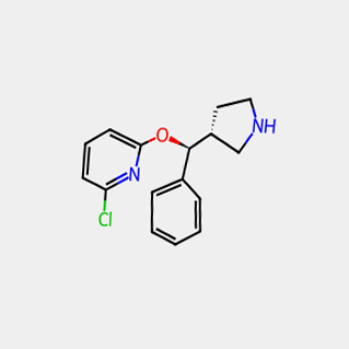 Clc1cccc(O[C@H](c2ccccc2)[C@@H]2CCNC2)n1